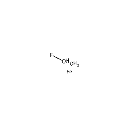 O.OF.[Fe]